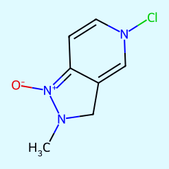 CN1CC2=CN(Cl)C=CC2=[N+]1[O-]